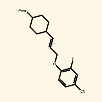 CCCCCC1CCC(/C=C/COc2ccc(C#N)cc2F)CC1